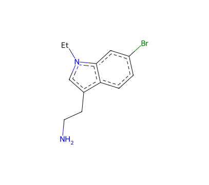 CCn1cc(CCN)c2ccc(Br)cc21